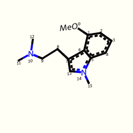 COc1cccc2c1c(CCN(C)C)cn2C